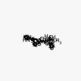 C=C/C(C(=O)N/C(C=C)=C/C=C(\C=C)C(=O)N1CCc2cc(-c3nc4ccccc4[nH]3)sc2-c2ccccc21)=C(\NC)N1CC2(CCOCC2)C1